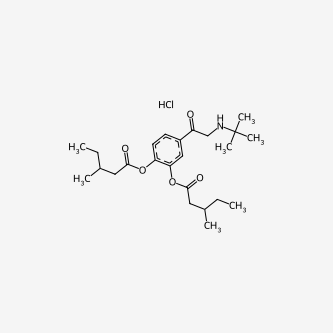 CCC(C)CC(=O)Oc1ccc(C(=O)CNC(C)(C)C)cc1OC(=O)CC(C)CC.Cl